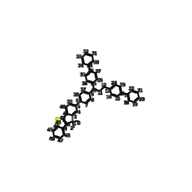 CC1(C)c2cc(-c3ccc(C(CCc4ccc(-c5ccccc5)cc4)c4ccc(-c5ccccc5)cc4)cc3)ccc2-c2sc3ccccc3c21